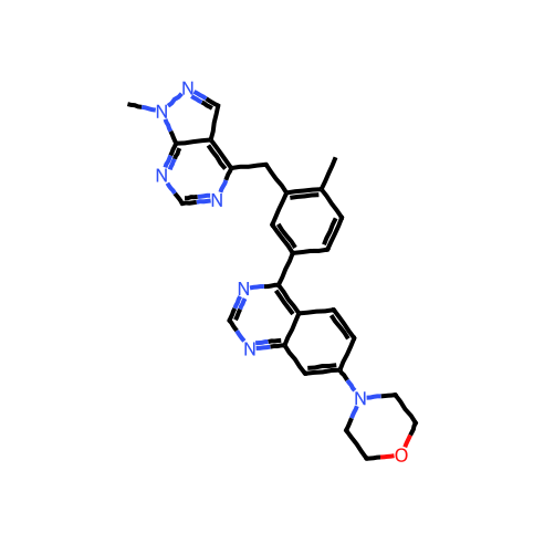 Cc1ccc(-c2ncnc3cc(N4CCOCC4)ccc23)cc1Cc1ncnc2c1cnn2C